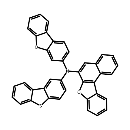 c1ccc2c(c1)cc(N(c1ccc3c(c1)oc1ccccc13)c1ccc3sc4ccccc4c3c1)c1oc3ccccc3c12